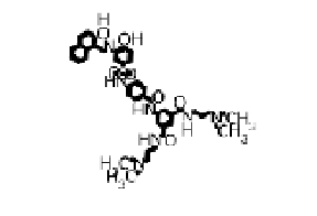 CCN(CC)CCCNC(=O)c1cc(NC(=O)c2ccc(NS(=O)(=O)c3ccc(O)c(N=Cc4c(O)ccc5ccccc45)c3)cc2)cc(C(=O)NCCCN(CC)CC)c1